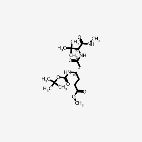 CNC(=O)[C@@H](NC(=O)C[C@H](CCC(=O)OC)NC(=O)OC(C)(C)C)C(C)(C)C